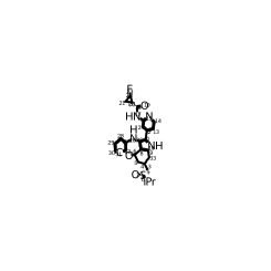 CC(C)[S+]([O-])CC1CC(=O)c2c([nH]c(-c3ccnc(NC(=O)[C@@H]4C[C@@H]4F)c3)c2Nc2ccccc2)C1